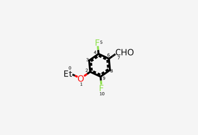 [CH2]COc1cc(F)c(C=O)cc1F